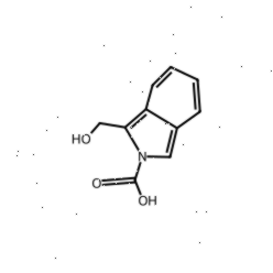 O=C(O)n1cc2ccccc2c1CO